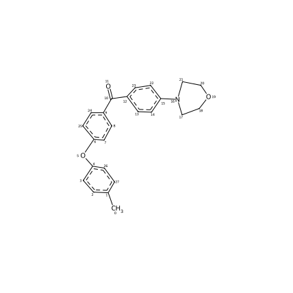 Cc1ccc(Oc2ccc(C(=O)c3ccc(N4CCOCC4)cc3)cc2)cc1